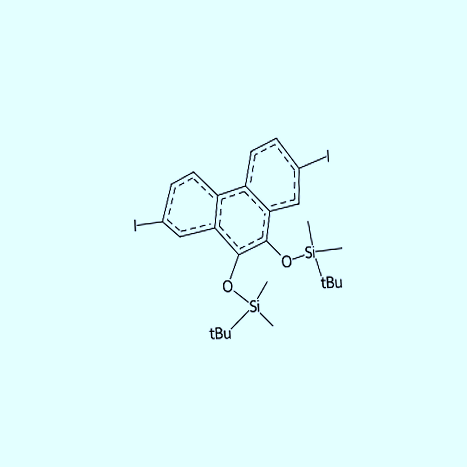 CC(C)(C)[Si](C)(C)Oc1c(O[Si](C)(C)C(C)(C)C)c2cc(I)ccc2c2ccc(I)cc12